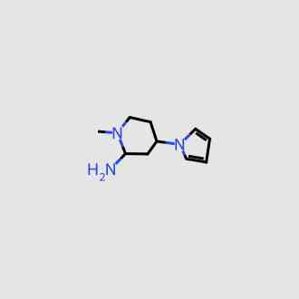 CN1CCC(n2cccc2)CC1N